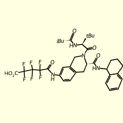 CC[C@@H](C)C(=O)N[C@H](C(=O)N1Cc2cc(NC(=O)C(F)(F)C(F)(F)C(F)(F)C(=O)O)ccc2C[C@H]1C(=O)NC1CCCc2ccccc21)C(C)(C)C